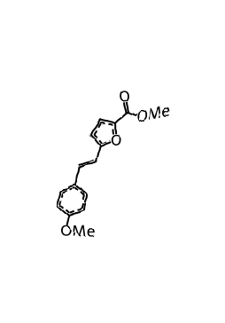 COC(=O)c1ccc(C=Cc2ccc(OC)cc2)o1